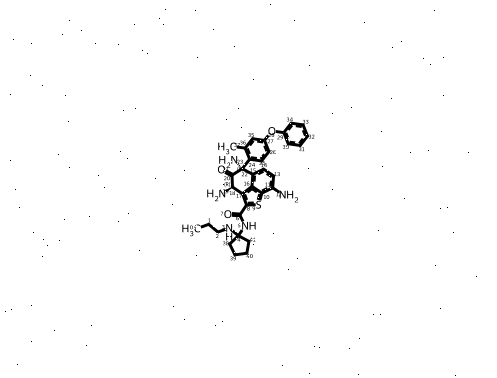 CCCNC1(NC(=O)c2sc3c(N)ccc4c3c2[C@@H](N)C(=O)[C@@]4(N)c2ccc(Oc3ccccc3)cc2C)CCCC1